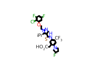 CC(C)c1c(C(=S)Nc2cc(CC(=O)O)c(N3CC[C@@H](F)C3)cc2C(F)(F)F)cnn1CCOc1cc(F)cc(F)c1Cl